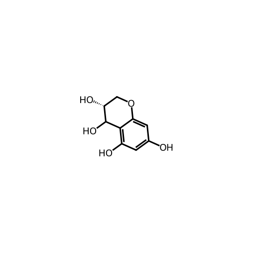 Oc1cc(O)c2c(c1)OC[C@@H](O)C2O